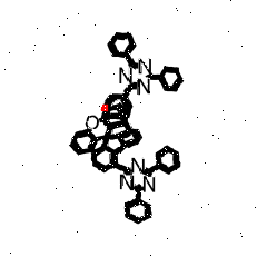 c1ccc(-c2nc(-c3ccccc3)nc(-c3cccc(-c4cccc5c4C4(c6ccccc6Oc6ccccc64)c4cccc(-c6nc(-c7ccccc7)nc(-c7ccccc7)n6)c4-5)c3)n2)cc1